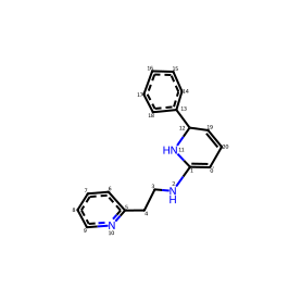 [C]1=C(NCCc2ccccn2)NC(c2ccccc2)C=C1